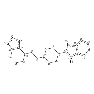 c1ccc2[nH]c(C3CCN(CCC4CCCc5sccc54)CC3)nc2c1